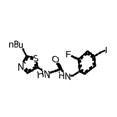 CCCCc1ncc(NC(=O)Nc2ccc(I)cc2F)s1